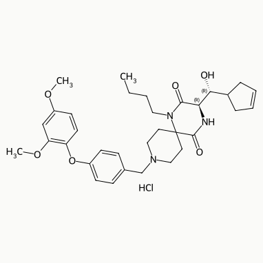 CCCCN1C(=O)[C@@H]([C@H](O)C2CC=CC2)NC(=O)C12CCN(Cc1ccc(Oc3ccc(OC)cc3OC)cc1)CC2.Cl